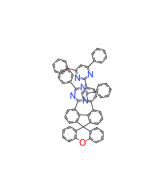 c1ccc(-c2cc(-c3ccccc3)nc(-c3ccc(-c4cccc5c4-c4c(-c6nc(-c7ccccc7)nc(-c7ccccc7)n6)cccc4C54c5ccccc5Oc5ccccc54)cc3)n2)cc1